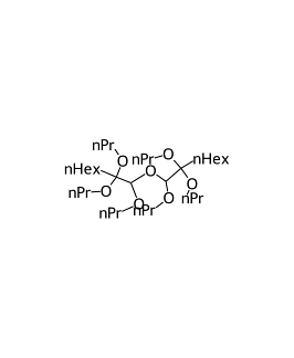 CCCCCCC(OCCC)(OCCC)C(OCCC)OC(OCCC)C(CCCCCC)(OCCC)OCCC